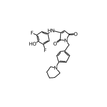 O=C1C=C(Nc2cc(F)c(O)c(F)c2)C(=O)N1Cc1ccc(N2CCCCC2)cc1